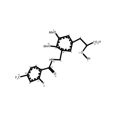 COc1cc(CC(OC(C)C)C(=O)O)cc(CNC(=O)c2ccc(C(F)(F)F)cc2F)c1OC